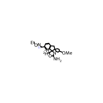 [2H]C1([2H])OC(N)=NC12c1cc(/C=N/OCC)ccc1CC21CCC(OC)CC1